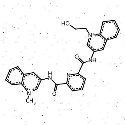 C[n+]1cc(NC(=O)c2cccc(C(=O)Nc3cc4ccccc4[n+](CCO)c3)n2)cc2ccccc21